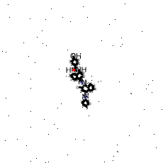 CC1C=C(/N=N/c2ccccc2)c2ccccc2C1/N=N/c1ccc2c3c(cccc13)NC(c1ccc(O)cc1)N2